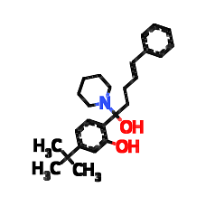 CC(C)(C)c1ccc(C(O)(CCC=Cc2ccccc2)N2CCCCC2)c(O)c1